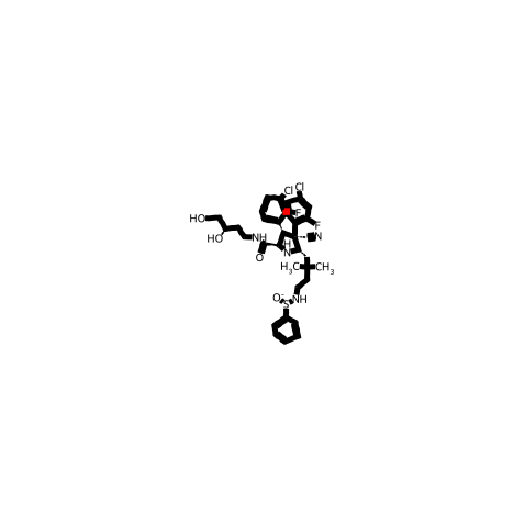 CC(C)(CCN[S+]([O-])c1ccccc1)C[C@@H]1N[C@@H](C(=O)NCC[C@H](O)CO)[C@H](c2cccc(Cl)c2F)[C@@]1(C#N)c1ccc(Cl)cc1F